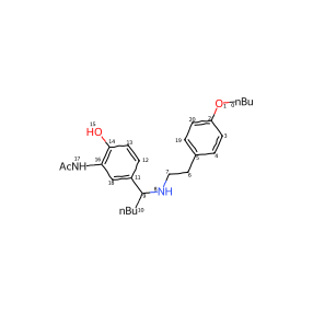 CCCCOc1ccc(CCNC(CCCC)c2ccc(O)c(NC(C)=O)c2)cc1